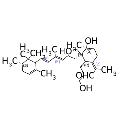 CC1=CC[C@H](C)C(C)(C)C1/C=C/C(C)=C/CC[C@@]1(CO)[C@H](CCCO)/C(=C(/C)C=O)CC[C@]1(C)O